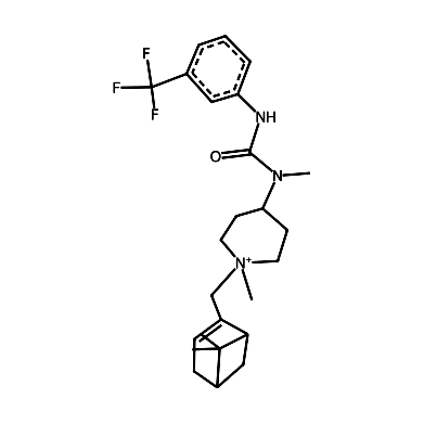 CN(C(=O)Nc1cccc(C(F)(F)F)c1)C1CC[N+](C)(CC2=CCC3CC2C3(C)C)CC1